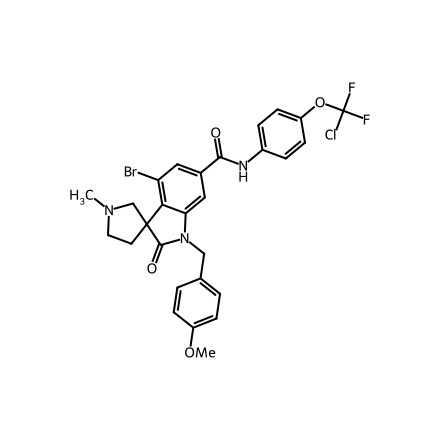 COc1ccc(CN2C(=O)C3(CCN(C)C3)c3c(Br)cc(C(=O)Nc4ccc(OC(F)(F)Cl)cc4)cc32)cc1